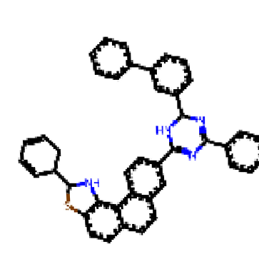 C1=CCC(C2Nc3c(ccc4ccc5cc(C6=NC(c7ccccc7)=NC(c7cccc(-c8ccccc8)c7)N6)ccc5c34)S2)C=C1